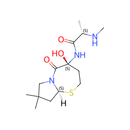 CN[C@@H](C)C(=O)N[C@]1(O)CCS[C@H]2CC(C)(C)CN2C1=O